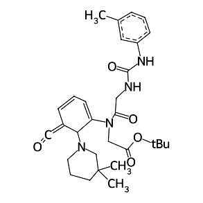 Cc1cccc(NC(=O)NCC(=O)N(CC(=O)OC(C)(C)C)C2=CC=CC(=C=O)C2N2CCCC(C)(C)C2)c1